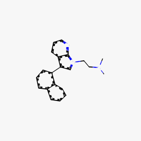 CN(C)CCn1cc(-c2cccc3ccccc23)c2cccnc21